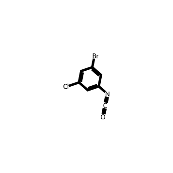 O=C=Nc1cc(Cl)cc(Br)c1